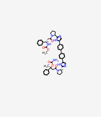 COC(=O)N[C@@H](CC(=O)N1CCCC1c1ncc(-c2ccc(-c3ccc(-c4cnc([C@@H]5CCCN5C(=O)C[C@](C)(OC(N)=O)c5ccccc5)[nH]4)cc3)cc2)[nH]1)c1ccccc1